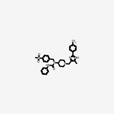 Cc1[nH]c(-c2ccc(C(F)(F)F)cc2)nc1CN1CCC(N(Cc2ccc(S(C)(=O)=O)cc2)C(=O)Nc2ccccc2)CC1